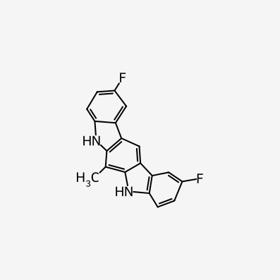 Cc1c2[nH]c3ccc(F)cc3c2cc2c1[nH]c1ccc(F)cc12